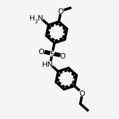 CCOc1ccc(NS(=O)(=O)c2ccc(OC)c(N)c2)cc1